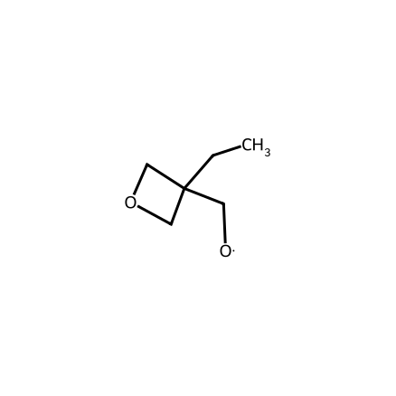 CCC1(C[O])COC1